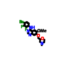 COc1cc2c(Nc3ccc(Br)c(F)c3F)ncnc2cc1OCC1CN(C)CCO1